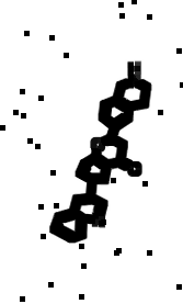 O=C1CC(c2ccc3c(c2)CCNC3)Oc2ccc(-c3cnc4ccccc4c3)cc21